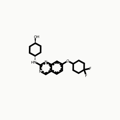 O[C@H]1CC[C@H](Nc2ncc3ccc(OC4CCC(F)(F)CC4)cc3n2)CC1